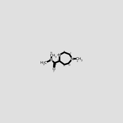 CN1CC[N]C(C(=O)N(C)C)CC1